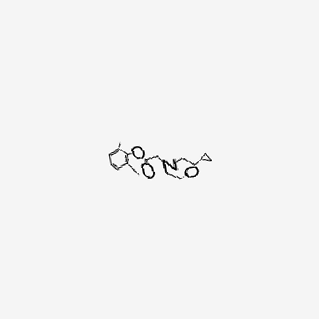 Cc1cccc(C)c1OC(=O)CN1CCOC(C2CC2)C1